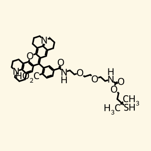 CC(C)(S)CCOC(=O)NCCOCCOCCNC(=O)c1ccc(C(=O)O)c(C2=c3cc4c5c(c3Oc3c2cc2c6c3CCCN6CCC2)CCC[N+]=5CCC4)c1